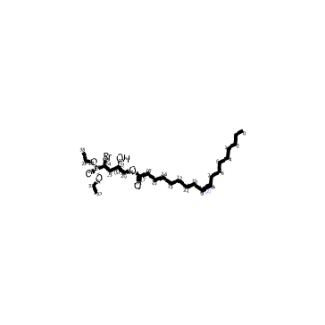 CCCCCCCC/C=C\CCCCCCCC(=O)OC[C@@H](O)CC(Br)P(=O)(OCC)OCC